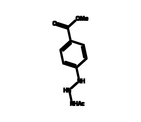 COC(=O)c1ccc(NNNC(C)=O)cc1